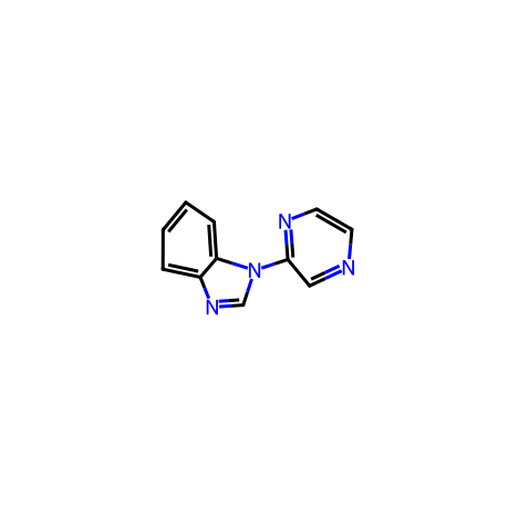 c1ccc2c(c1)ncn2-c1cnccn1